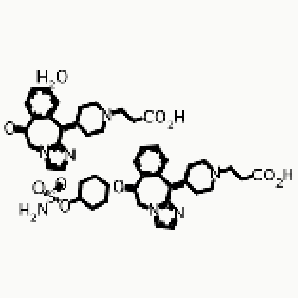 NS(=O)(=O)OC1CCCCC1.O.O=C(O)CCN1CCC(=C2c3ccccc3C(=O)Cn3ccnc32)CC1.O=C(O)CCN1CCC(=C2c3ccccc3C(=O)Cn3ccnc32)CC1